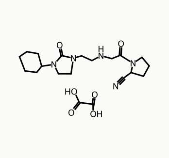 N#CC1CCCN1C(=O)CNCCN1CCN(C2CCCCC2)C1=O.O=C(O)C(=O)O